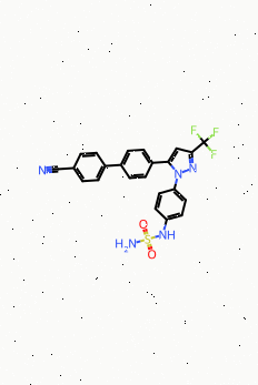 N#Cc1ccc(-c2ccc(-c3cc(C(F)(F)F)nn3-c3ccc(NS(N)(=O)=O)cc3)cc2)cc1